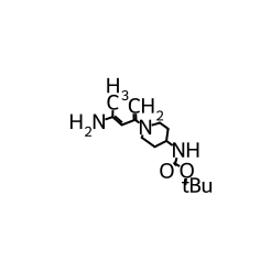 C=C(/C=C(\C)N)N1CCC(NC(=O)OC(C)(C)C)CC1